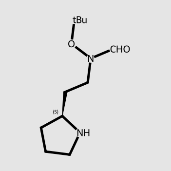 CC(C)(C)ON(C=O)CC[C@@H]1CCCN1